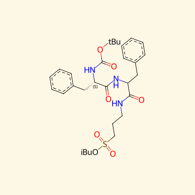 CC(C)COS(=O)(=O)CCCNC(=O)C(Cc1ccccc1)NC(=O)[C@H](Cc1ccccc1)NC(=O)OC(C)(C)C